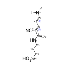 CN(C)/C=C/C=C(\C#N)C(=O)NCCCS(=O)(=O)O